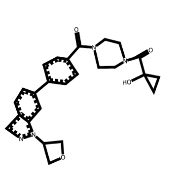 O=C(c1ccc(-c2ccc3cnn(C4COC4)c3c2)cc1)N1CCN(C(=O)C2(O)CC2)CC1